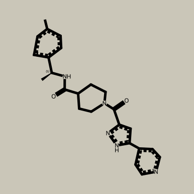 Cc1ccc([C@H](C)NC(=O)C2CCN(C(=O)c3cc(-c4ccncc4)[nH]n3)CC2)cc1